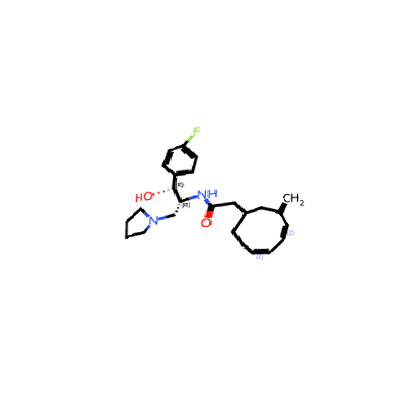 C=C1/C=C\C=C/CCC(CC(=O)N[C@H](CN2CCCC2)[C@H](O)c2ccc(F)cc2)C1